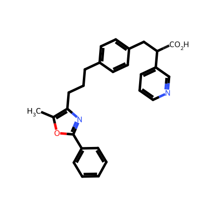 Cc1oc(-c2ccccc2)nc1CCCc1ccc(CC(C(=O)O)c2cccnc2)cc1